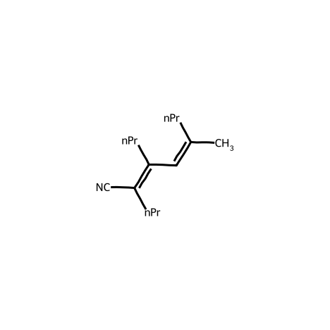 CCC/C(C)=C\C(CCC)=C(\C#N)CCC